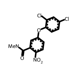 CNC(=O)c1cc(Oc2ccc(Cl)cc2Cl)ccc1[N+](=O)[O-]